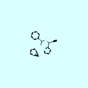 C#CC(NC(C)c1ccccc1)c1cccs1.c1cc2cc-2c1